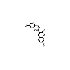 COc1ccc2cc(C(=O)/C=C\c3ccc(Cl)cc3)c(=O)oc2c1